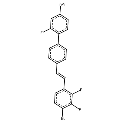 CCCc1ccc(-c2ccc(/C=C/c3ccc(CC)c(F)c3F)cc2)c(F)c1